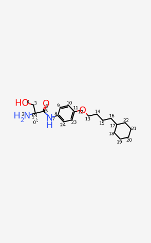 C[C@](N)(CO)C(=O)Nc1ccc(OCCCCC2CCCCC2)cc1